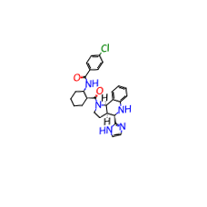 O=C(N[C@@H]1CCCC[C@@H]1C(=O)N1CC[C@@H]2[C@H](c3ncc[nH]3)Nc3ccccc3[C@@H]21)c1ccc(Cl)cc1